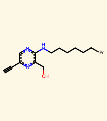 C#Cc1cnc(NCCCCCCC(C)C)c(CO)n1